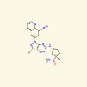 CNC(=O)[C@@]1(C)CC[C@@H](Nc2ncc3c(Br)nn(-c4cc(C#N)c5ncccc5c4)c3n2)C1